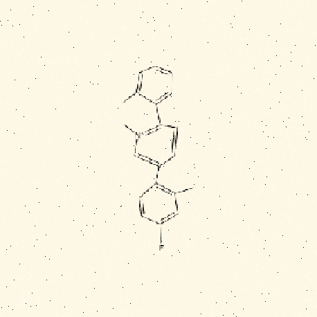 Cc1cc(F)ccc1-c1ccc(-c2ccccc2C)[n+](C)c1